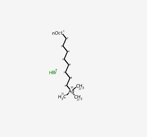 Br.CCCCCCCCCCCCCCC[CH2][Ag]([CH3])([CH3])[CH3]